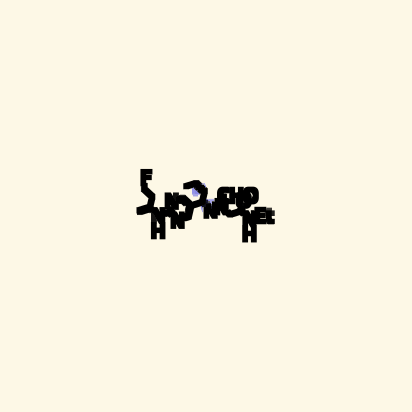 C=C(CCF)Nc1ncc(C(/C=C\C)=N/N(C=O)CC(=O)NCC)cn1